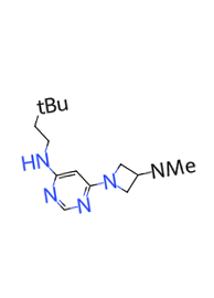 CNC1CN(c2cc(NCCC(C)(C)C)ncn2)C1